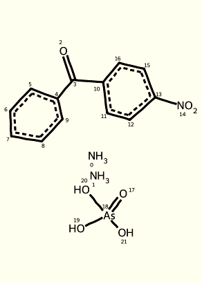 N.N.O=C(c1ccccc1)c1ccc([N+](=O)[O-])cc1.O=[As](O)(O)O